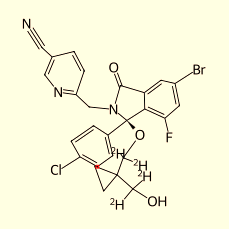 [2H]C([2H])(O)C1(C([2H])([2H])O[C@]2(c3ccc(Cl)cc3)c3c(F)cc(Br)cc3C(=O)N2Cc2ccc(C#N)cn2)CC1